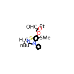 CCCCC1CN(c2ccccc2)c2cc(SC)c(OCC(C=O)OCC)cc2SN1C